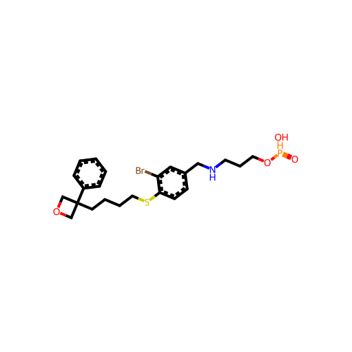 O=[PH](O)OCCCNCc1ccc(SCCCCC2(c3ccccc3)COC2)c(Br)c1